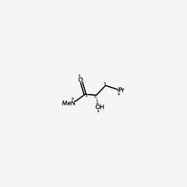 CNC(=O)[C@@H](O)CC(C)C